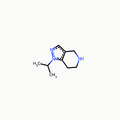 CC(C)n1ncc2c1CCNC2